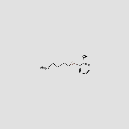 [CH]c1ccccc1SCCCCCCCCCCC